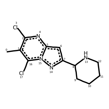 Cc1c(Cl)nc2cc(C3CCCCN3)nn2c1Cl